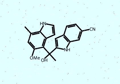 COc1cc(C)c2[nH]ccc2c1C(C)(O)c1cc2ccc(C#N)cc2[nH]1